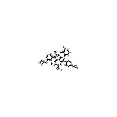 CN(C)Cc1c(-c2ccc([N+](=O)[O-])cc2)sc2c1c(=O)n(-c1cccc(OC3COC3)n1)c(=O)n2Cc1c(F)cccc1F